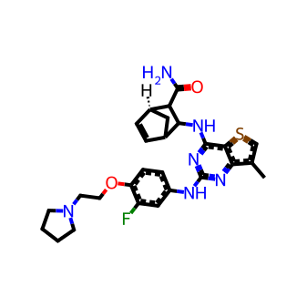 Cc1csc2c(NC3C4C=C[C@H](C4)C3C(N)=O)nc(Nc3ccc(OCCN4CCCC4)c(F)c3)nc12